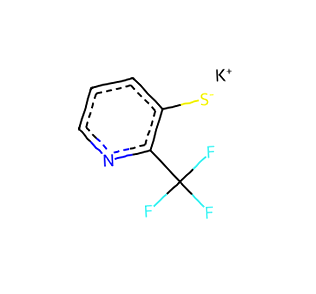 FC(F)(F)c1ncccc1[S-].[K+]